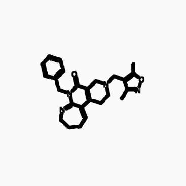 Cc1noc(C)c1CN1CCc2c(c(=O)n(Cc3ccccc3)c3c2=CCCCN=3)C1